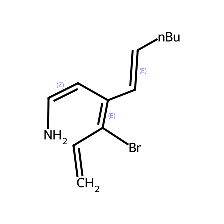 C=C/C(Br)=C(\C=C/N)/C=C/CCCC